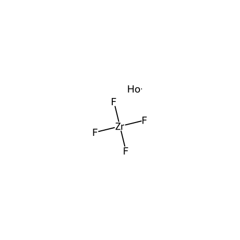 [F][Zr]([F])([F])[F].[Ho]